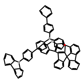 c1ccc(-c2ccc(N(c3ccc(-c4ccc(-n5c6ccccc6c6ccccc65)cc4)cc3)c3ccc(-c4cccc5c4C4(c6ccccc6-5)c5ccccc5-c5c4ccc4oc6ccccc6c54)cc3)cc2)cc1